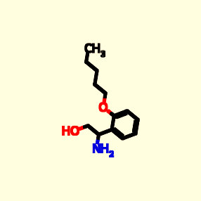 CCCCCOc1ccccc1C(N)CO